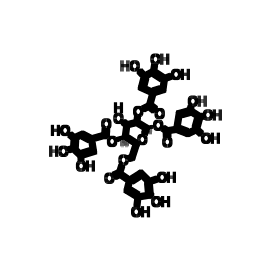 O=C(OCC1O[C@@H](OC(=O)c2cc(O)c(O)c(O)c2)C(OC(=O)c2cc(O)c(O)c(O)c2)C(O)[C@@H]1OC(=O)c1cc(O)c(O)c(O)c1)c1cc(O)c(O)c(O)c1